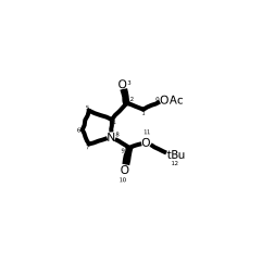 CC(=O)OCC(=O)C1CCCN1C(=O)OC(C)(C)C